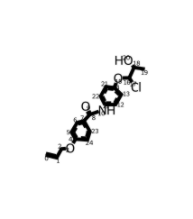 C=CCOc1ccc(C(=O)Nc2ccc(OC(Cl)C(C)O)cc2)cc1